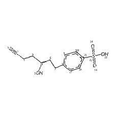 C#CCCC(O)CCc1ccc(S(=O)(=O)O)cc1